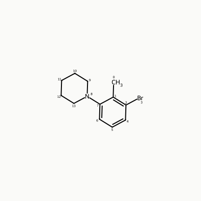 Cc1c(Br)cccc1N1CCCCC1